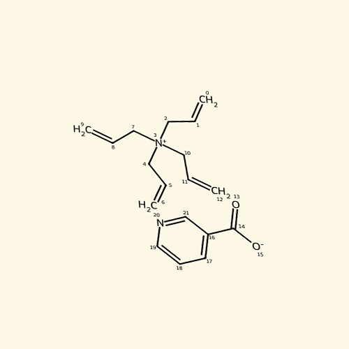 C=CC[N+](CC=C)(CC=C)CC=C.O=C([O-])c1cccnc1